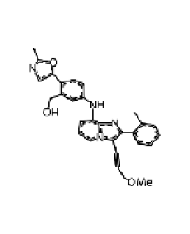 COCC#Cc1c(-c2ccccc2C)nc2c(Nc3ccc(-c4cnc(C)o4)c(CO)c3)cccn12